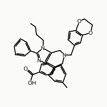 CCCCn1c(-c2ccccc2)nc(-c2ccc(C)cc2)c1CN(Cc1ccc(C(=O)O)cc1)Cc1ccc2c(c1)OCCO2